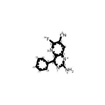 N#Cc1cc2nc(N)nc(-c3ccccc3)c2nc1F